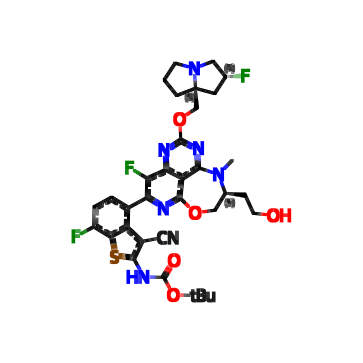 CN1c2nc(OC[C@@]34CCCN3C[C@H](F)C4)nc3c(F)c(-c4ccc(F)c5sc(NC(=O)OC(C)(C)C)c(C#N)c45)nc(c23)OC[C@@H]1CCO